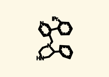 CC(C)c1ccccc1-c1cnccc1CN1CCNCC1c1ccccc1